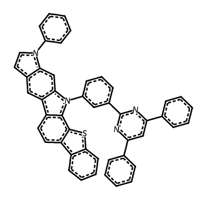 c1ccc(-c2cc(-c3ccccc3)nc(-c3cccc(-n4c5cc6c(ccn6-c6ccccc6)cc5c5ccc6c7ccccc7sc6c54)c3)n2)cc1